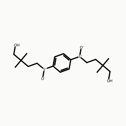 CC(C)(CO)CC[S+]([O-])c1ccc([S+]([O-])CCC(C)(C)CO)cc1